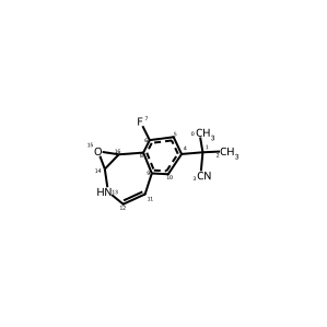 CC(C)(C#N)c1cc(F)c2c(c1)C=CNC1OC21